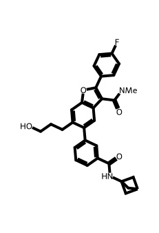 CNC(=O)c1c(-c2ccc(F)cc2)oc2cc(CCCO)c(-c3cccc(C(=O)NC45CC(C4)C5)c3)cc12